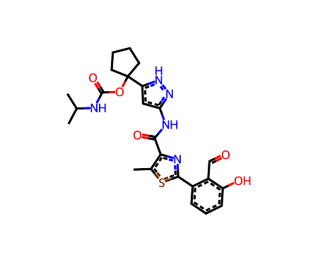 Cc1sc(-c2cccc(O)c2C=O)nc1C(=O)Nc1cc(C2(OC(=O)NC(C)C)CCCC2)[nH]n1